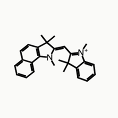 CN1C(=CC2=[N+](C)c3ccccc3C2(C)C)C(C)(C)c2ccc3ccccc3c21